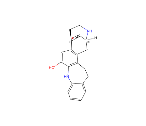 Oc1cc2c(c3c1Nc1ccccc1CC3)C[C@@H]1NCC[C@]23CCCCC13